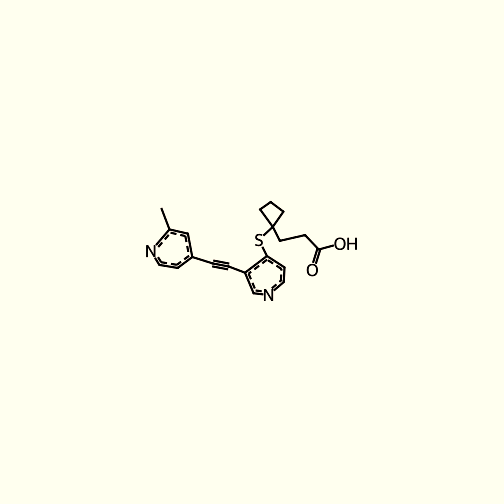 Cc1cc(C#Cc2cnccc2SC2(CCC(=O)O)CCC2)ccn1